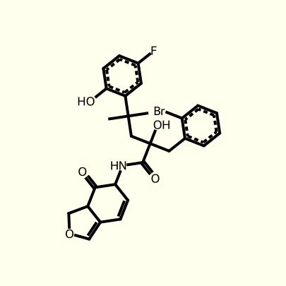 CC(C)(CC(O)(Cc1ccccc1Br)C(=O)NC1C=CC2=COCC2C1=O)c1cc(F)ccc1O